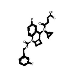 O=C(O)CCC(=O)N(C1CC1)C1c2cc(F)ccc2N(C(=O)OCc2cccc(F)c2)C2CCC21